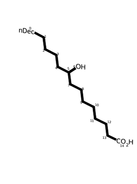 CCCCCCCCCCCCCCC(O)CCCCCCCC(=O)O